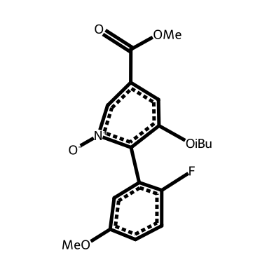 COC(=O)c1cc(OCC(C)C)c(-c2cc(OC)ccc2F)[n+]([O-])c1